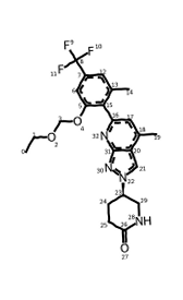 CCOCOc1cc(C(F)(F)F)cc(C)c1-c1cc(C)c2cn([C@@H]3CCC(=O)NC3)nc2n1